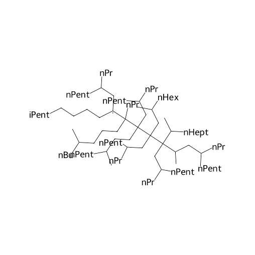 CCCCCCCC(C)C(CC(CCC)CCCCC)(C(C)CC(CCC)CCCCC)C(CC(C)CCCCCC)(CC(CCC)CCCCC)C(CCC(C)CCCCC)(CC(CCC)CCCCC)C(CCC)(CCCC(C)CCCC)[C](CCCCC(C)CCC)CC(CCC)CCCCC